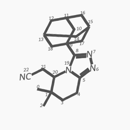 CC1(C)CCc2nnc(C34CC5CC(CC(C5)C3)C4)n2C1CC#N